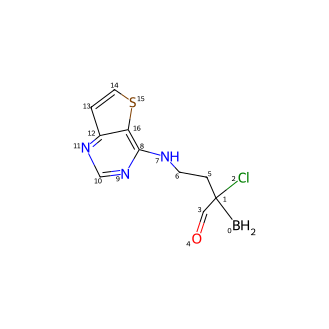 BC(Cl)(C=O)CCNc1ncnc2ccsc12